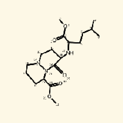 COC(=O)C(CCC(C)C)NC1CCN2CCCC(C(=O)OC)N2C1=O